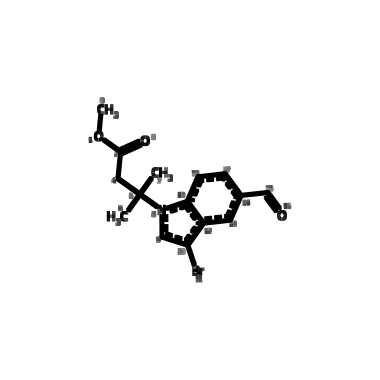 COC(=O)CC(C)(C)n1cc(Br)c2cc(C=O)ccc21